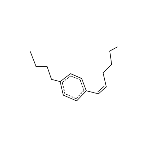 CCCC/C=[C]\c1ccc(CCCC)cc1